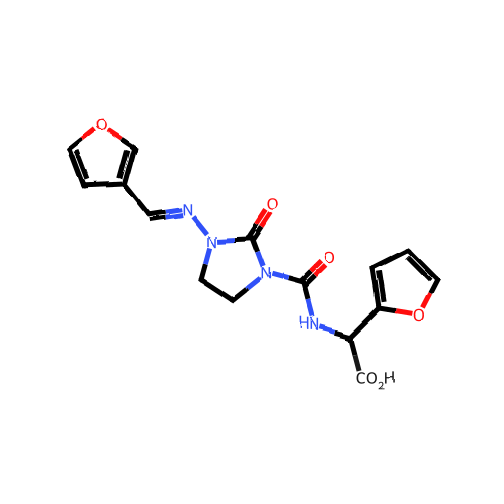 O=C(O)C(NC(=O)N1CCN(N=Cc2ccoc2)C1=O)c1ccco1